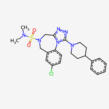 CN(C)S(=O)(=O)N1Cc2cc(Cl)ccc2-n2c(nnc2N2CCC(c3ccccc3)CC2)C1